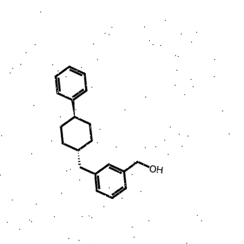 OCc1cccc(C[C@H]2CC[C@H](c3ccccc3)CC2)c1